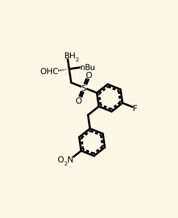 B[C@@](C=O)(CCCC)CS(=O)(=O)c1ccc(F)cc1Cc1cccc([N+](=O)[O-])c1